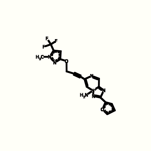 Cn1nc(OCC#CC2=C[N+]3(N)N=C(c4ccco4)N=C3C=N2)cc1C(F)(F)F